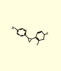 FC1=C(C2CC2c2ccc(Br)cc2)C=CC(F)[CH]1